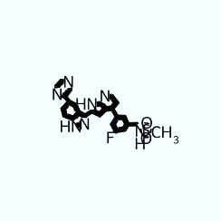 CS(=O)(=O)NCc1cc(F)cc(-c2ccnc3[nH]c(-c4n[nH]c5ccc(-c6cnccn6)cc45)cc23)c1